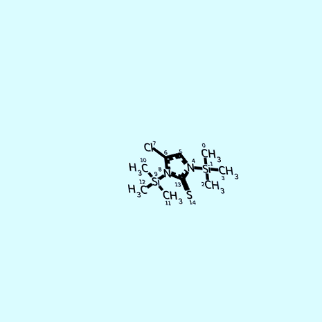 C[Si](C)(C)n1cc(Cl)n([Si](C)(C)C)c1=S